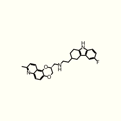 Cc1ccc2c3c(ccc2n1)OC[C@H](CNCCC1CCc2[nH]c4ccc(F)cc4c2C1)O3